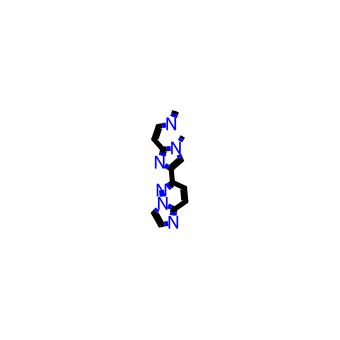 C=N/C=C\c1nc(-c2ccc3nccn3n2)cn1C